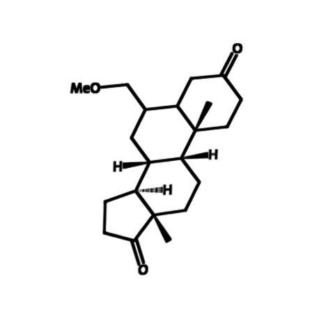 COCC1C[C@@H]2[C@@H](CC[C@]3(C)C(=O)CC[C@@H]23)[C@@]2(C)CCC(=O)CC12